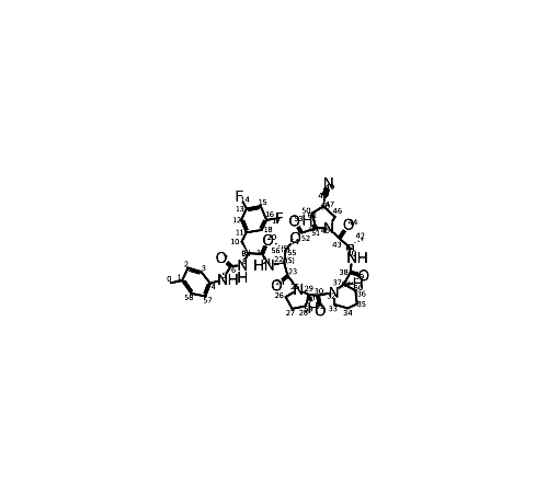 Cc1ccc(NC(=O)N[C@@H](Cc2cc(F)cc(F)c2)C(=O)N[C@@H]2C(=O)N3CCC[C@H]3C(=O)N3CCCC[C@H]3C(=O)N[C@@H](C)C(=O)N3C[C@H](C#N)C[C@H]3C(=O)O[C@H]2C)cc1